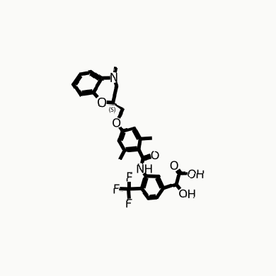 Cc1cc(OC[C@@H]2CN(C)c3ccccc3O2)cc(C)c1C(=O)Nc1cc(C(O)C(=O)O)ccc1C(F)(F)F